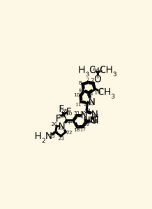 Cc1c(OC(C)C)ccc2ccc(-c3nnc4ccc([C@@H](N5CCC(N)C5)C(F)(F)F)cn34)nc12.Cl